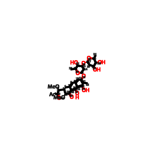 CO[C@H](C(=O)C(C)=O)[C@@H]1Cc2cc3cc(O[C@H]4CC(O[C@H]5CC(O)[C@H](O)C(C)O5)[C@H](O)C(C)O4)c(C)c(O)c3c(O)c2C(=O)[C@H]1OC